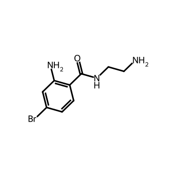 NCCNC(=O)c1ccc(Br)cc1N